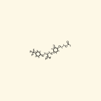 CC(=O)OCCOc1ccc(SCC(COc2ccc(C(F)(F)F)cc2)=C(F)F)cc1C